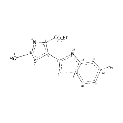 CCOC(=O)c1nc(O)sc1-c1cn2ccc(C)cc2n1